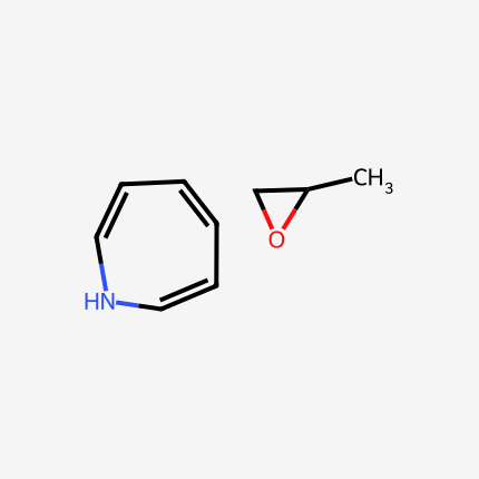 C1=CC=CNC=C1.CC1CO1